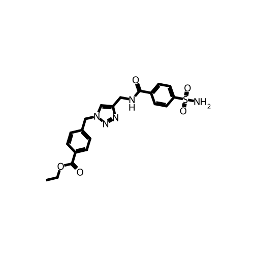 CCOC(=O)c1ccc(Cn2cc(CNC(=O)c3ccc(S(N)(=O)=O)cc3)nn2)cc1